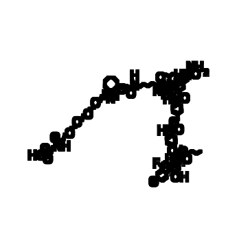 CCCC1O[C@@H]2C[C@H]3[C@@H]4C[C@H](F)C5=CC(=O)C=C[C@]5(C)[C@@]4(F)[C@@H](O)C[C@]3(C)[C@]2(C(=O)COc2ccc(NC(=O)OCc3ccc(NC(=O)[C@H](CCCNC(N)=O)NC(=O)[C@@H](NC(=O)[C@H](N)CCCCNC(=O)COC4CCCCCc5c4nnn5CCOCCOCCOCCOCCC(=O)NCCS(=O)(=O)O)C(C)C)cc3)cc2)O1